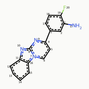 Nc1cc(-c2ccn3c(n2)nc2ccccc23)ccc1F